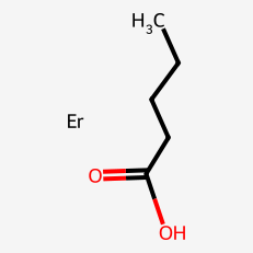 CCCCC(=O)O.[Er]